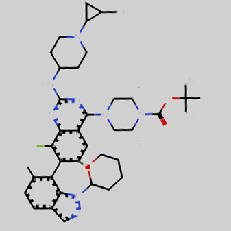 Cc1ccc2cnn(C3CCCCO3)c2c1-c1c(Cl)cc2c(N3C[C@@H](C)N(C(=O)OC(C)(C)C)[C@@H](C)C3)nc(NC3CCN(C4CC4C)CC3)nc2c1F